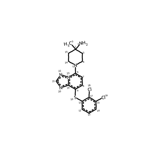 CC1(N)CCN(c2ccc(Sc3cccc(Cl)c3Cl)c3ncnn23)CC1